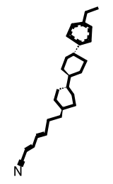 CCc1ccc([C@H]2CC[C@H]([C@H]3CC[C@H](CCC=CC=CC#N)CC3)CC2)cc1